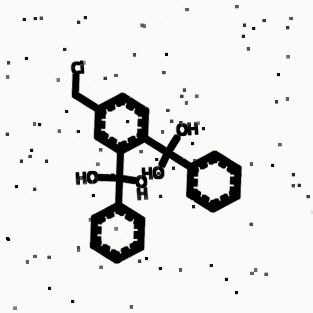 OC(O)(c1ccccc1)c1ccc(CCl)cc1C(O)(O)c1ccccc1